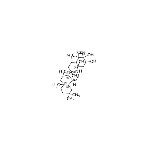 CC1(C)CC[C@]2(C)CC[C@]3(C)C(=CC[C@@H]4[C@@]5(C)CC(O)C(O)(O)C(C)(C)C5CC[C@]43C)[C@H]2C1